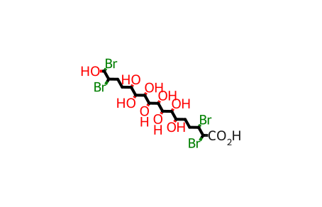 O=C(O)C(Br)C(Br)CCC(O)C(O)C(O)C(O)C(O)C(O)C(O)C(O)CCC(Br)C(O)Br